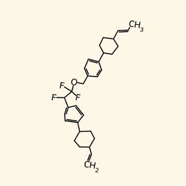 C=CC1CCC(c2ccc(C(F)C(F)(F)OCc3ccc(C4CCC(C=CC)CC4)cc3)cc2)CC1